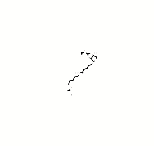 CC(C)(C)OC(=O)N[C@@H](CCCCNC(=O)CCCC[C@@H]1SC[C@@H]2N/C(=N/C(=O)C(F)(F)F)NC21)C(=O)O